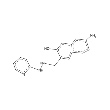 Nc1ccc2cc(CNNc3ccccn3)c(O)cc2c1